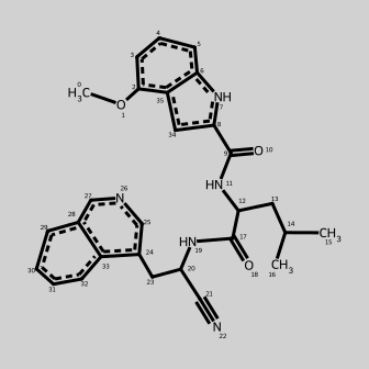 COc1cccc2[nH]c(C(=O)NC(CC(C)C)C(=O)NC(C#N)Cc3cncc4ccccc34)cc12